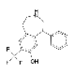 Oc1cc2c(cc1C(F)(F)F)CCNCC2c1ccccc1